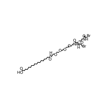 O=C(O)CCCCCCCCCCCCCCCCC(=O)NCCOCCOCCOCCOCCNC(=O)[C@H](CCCNC(=O)CBr)NC(=O)CBr